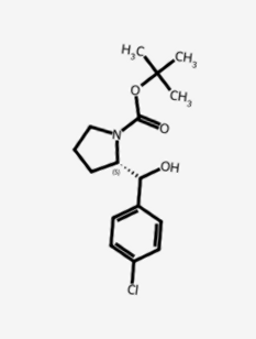 CC(C)(C)OC(=O)N1CCC[C@H]1C(O)c1ccc(Cl)cc1